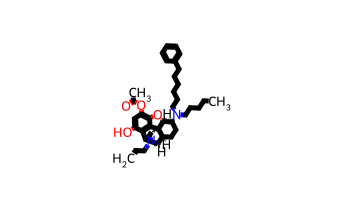 C=CCN1CC[C@]23c4c5c(O)cc(OC(C)=O)c4O[C@H]2[C@@H](N(CCCCC)CCCCCCc2ccccc2)CC[C@H]3[C@H]1C5